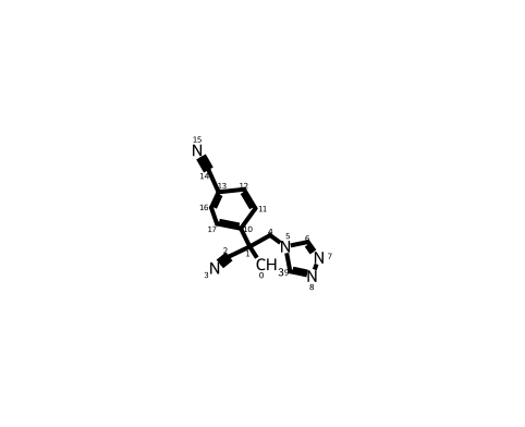 CC(C#N)(Cn1cnnc1)c1ccc(C#N)cc1